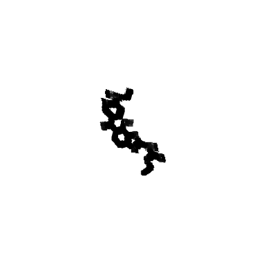 CCNc1ccc(C(=O)C2=C(O)c3sc(NC(=O)SCC)nc3CC2)cn1